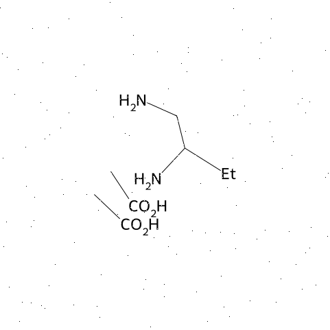 CC(=O)O.CC(=O)O.CCC(N)CN